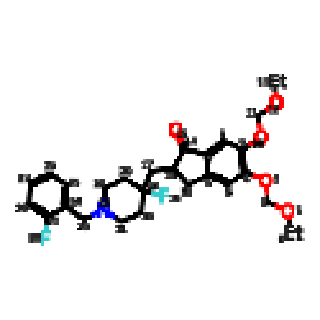 CCOCOc1cc2c(cc1OCOCC)C(=O)C(CC1(F)CCN(Cc3ccccc3F)CC1)C2